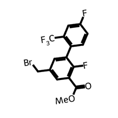 COC(=O)c1cc(CBr)cc(-c2ccc(F)cc2C(F)(F)F)c1F